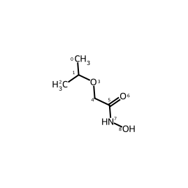 CC(C)OCC(=O)NO